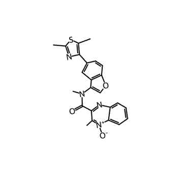 Cc1nc(-c2ccc3occ(N(C)C(=O)c4nc5ccccc5[n+]([O-])c4C)c3c2)c(C)s1